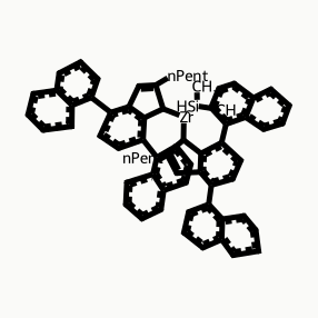 CCCCCC1=Cc2c(-c3cccc4ccccc34)ccc(-c3cccc4ccccc34)c2[CH]1[Zr]([CH]1C(CCCCC)=Cc2c(-c3cccc4ccccc34)ccc(-c3cccc4ccccc34)c21)[SiH](C)C